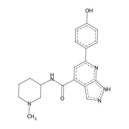 CN1CCCC(NC(=O)c2cc(-c3ccc(O)cc3)nc3[nH]ncc23)C1